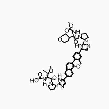 COC(=O)N[C@H](C(=O)N1CCC[C@H]1c1ncc(-c2ccc3c(c2)COc2c-3ccc3cc(-c4cnc([C@@H]5CCCN5C(=O)[C@@H](NC(=O)O)[C@@H](C)OC)[nH]4)ccc23)[nH]1)C1CCOCC1